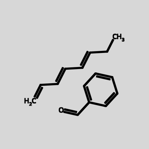 C=CC=CC=CCC.O=Cc1ccccc1